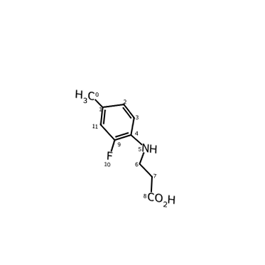 Cc1ccc(NCCC(=O)O)c(F)c1